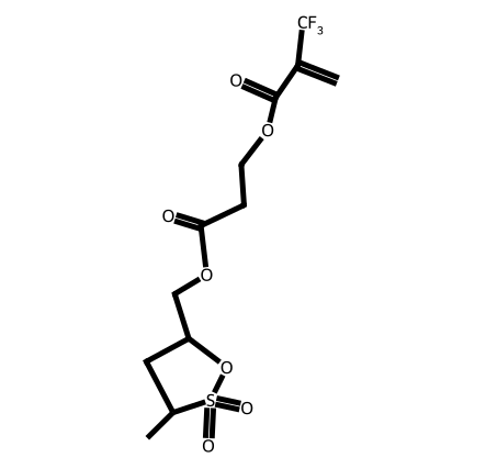 C=C(C(=O)OCCC(=O)OCC1CC(C)S(=O)(=O)O1)C(F)(F)F